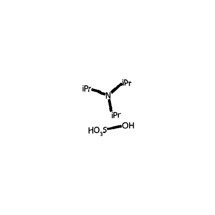 CC(C)N(C(C)C)C(C)C.O=S(=O)(O)O